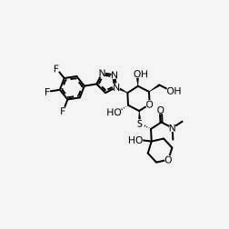 CN(C)C(=O)[C@@H](S[C@@H]1O[C@H](CO)[C@H](O)[C@H](n2cc(-c3cc(F)c(F)c(F)c3)nn2)[C@H]1O)C1(O)CCOCC1